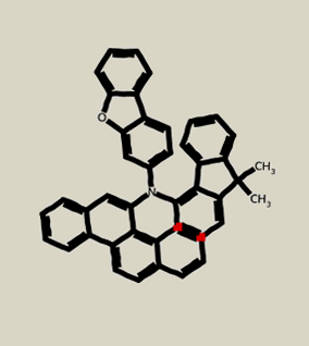 CC1(C)c2ccccc2-c2c(N(c3ccc4c(c3)oc3ccccc34)c3cc4ccccc4c4ccc5ccccc5c34)cccc21